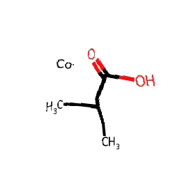 CC(C)C(=O)O.[Co]